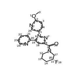 COc1ccc(-n2nc(C(=O)N3CCC[C@@H](F)C3)cc2-c2ccccn2)cn1